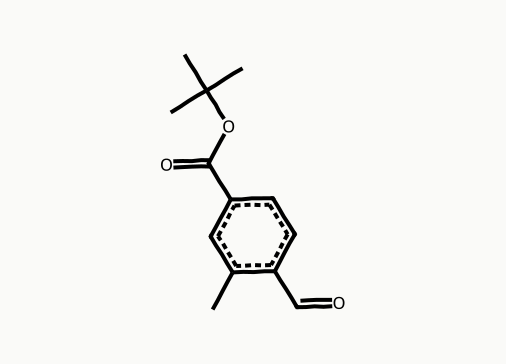 Cc1cc(C(=O)OC(C)(C)C)ccc1C=O